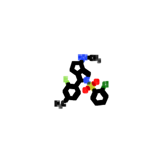 CNC1CCc2c1cn(S(=O)(=O)c1ccccc1Cl)c2-c1ccc(C)cc1F